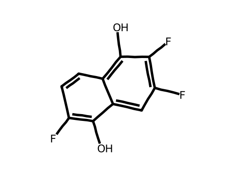 Oc1c(F)ccc2c(O)c(F)c(F)cc12